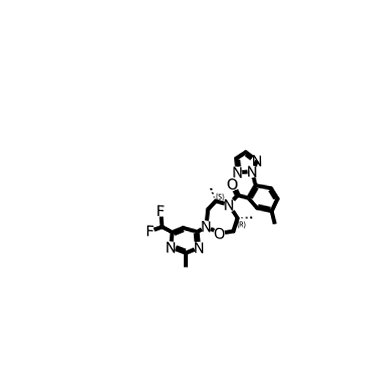 Cc1ccc(-n2nccn2)c(C(=O)N2[C@H](C)CON(c3cc(C(F)F)nc(C)n3)C[C@@H]2C)c1